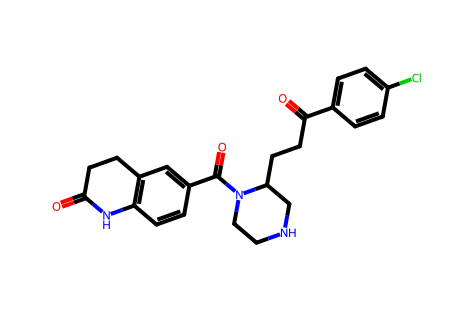 O=C1CCc2cc(C(=O)N3CCNCC3CCC(=O)c3ccc(Cl)cc3)ccc2N1